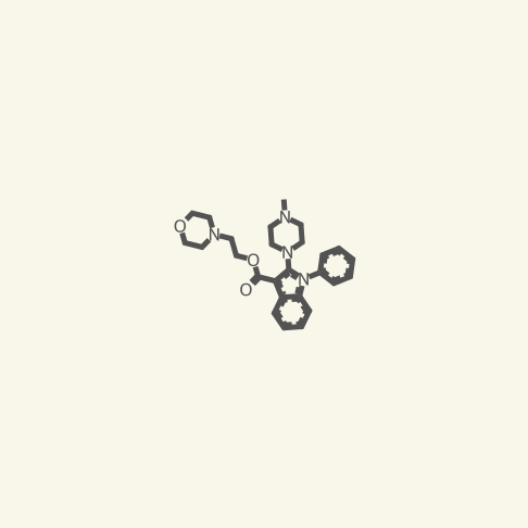 CN1CCN(c2c(C(=O)OCCN3CCOCC3)c3ccccc3n2-c2ccccc2)CC1